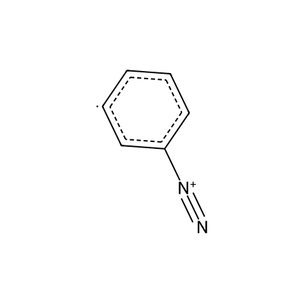 N#[N+]c1c[c]ccc1